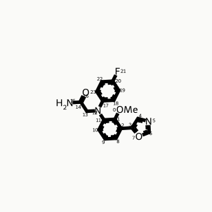 COc1c(-c2cnco2)cccc1N(CC(N)=O)c1ccc(F)cc1